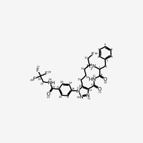 NC(Cc1ccccc1)C(=O)NC(=O)c1nnn(-c2ccc(C(=O)NCC(F)(F)F)cc2)c1CCCCCF